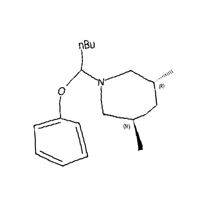 CCCCC(Oc1ccccc1)N1C[C@H](C)C[C@@H](C)C1